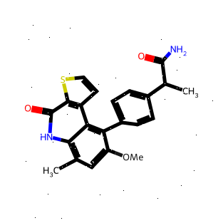 COc1cc(C)c2[nH]c(=O)c3sccc3c2c1-c1ccc(C(C)C(N)=O)cc1